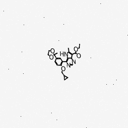 CCOC(=O)c1c(C)[nH]c2c(-c3cc(C4(C)OCCO4)ccc3OCC3CC3)ncnc12